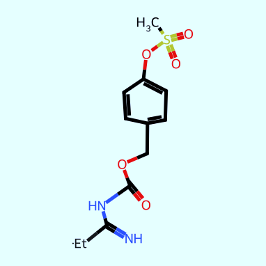 C[CH]C(=N)NC(=O)OCc1ccc(OS(C)(=O)=O)cc1